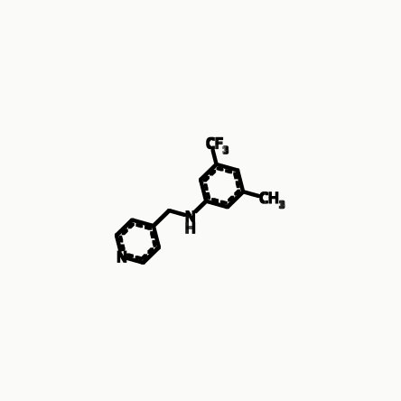 Cc1cc(NCc2ccncc2)cc(C(F)(F)F)c1